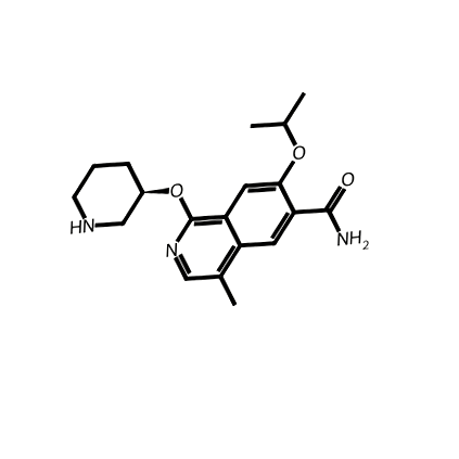 Cc1cnc(O[C@@H]2CCCNC2)c2cc(OC(C)C)c(C(N)=O)cc12